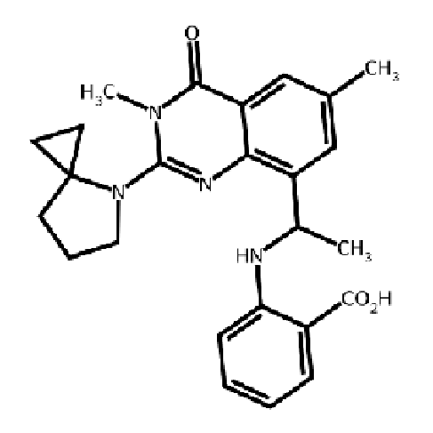 Cc1cc(C(C)Nc2ccccc2C(=O)O)c2nc(N3CCCC34CC4)n(C)c(=O)c2c1